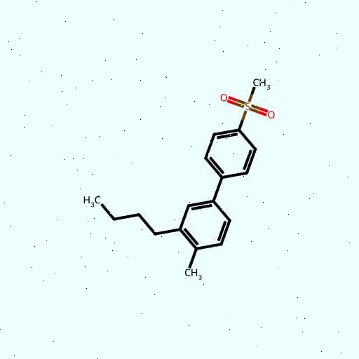 CCCCc1cc(-c2ccc(S(C)(=O)=O)cc2)ccc1C